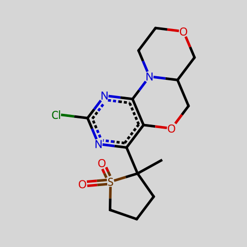 CC1(c2nc(Cl)nc3c2OCC2COCCN32)CCCS1(=O)=O